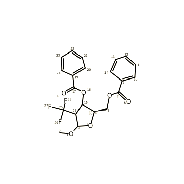 COC1O[C@H](COC(=O)c2ccccc2)C(OC(=O)c2ccccc2)C1C(F)(F)F